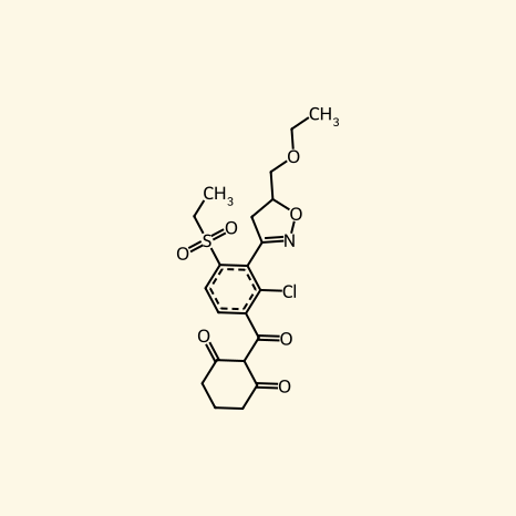 CCOCC1CC(c2c(S(=O)(=O)CC)ccc(C(=O)C3C(=O)CCCC3=O)c2Cl)=NO1